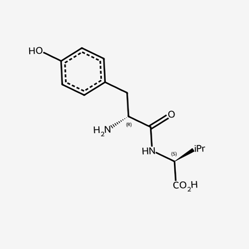 CC(C)[C@H](NC(=O)[C@H](N)Cc1ccc(O)cc1)C(=O)O